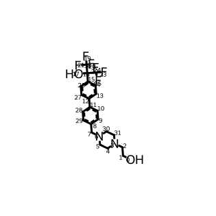 OCCN1CCN(Cc2ccc(-c3ccc(C(O)(C(F)(F)F)C(F)(F)F)cc3)cc2)CC1